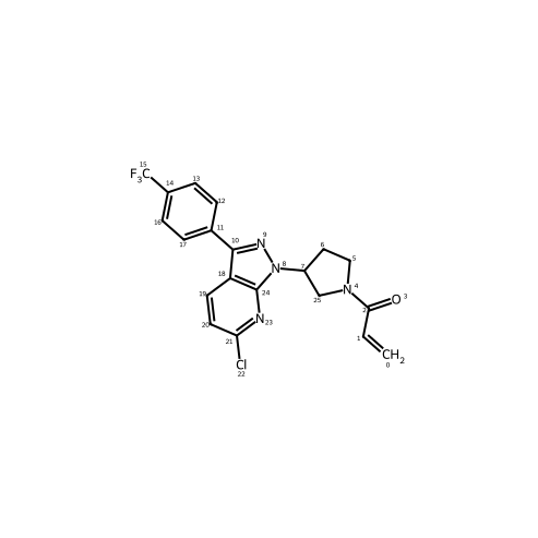 C=CC(=O)N1CCC(n2nc(-c3ccc(C(F)(F)F)cc3)c3ccc(Cl)nc32)C1